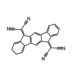 N#CC(C#N)=C1C2=CCCC=C2c2cc3c(cc21)-c1ccccc1C3=C(C#N)C#N